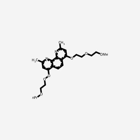 CCCOCCOOc1cc(C)nc2c1ccc1c(OCCOCCOC)cc(C)nc12